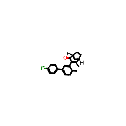 CC1=C(C2=CC(c3ccc(F)cc3)=CCC2C)C(=O)[C@@H]2CC[C@H]1C2